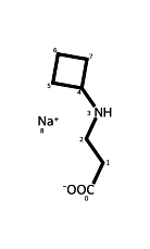 O=C([O-])CCNC1CCC1.[Na+]